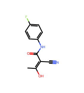 C/C(O)=C(/C#N)C(=O)Nc1ccc(F)cc1